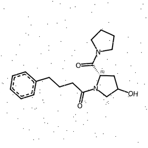 O=C([C@@H]1CC(O)CN1C(=O)CCCc1ccccc1)N1CCCC1